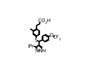 Cc1cc(SC(c2ccc(OC(F)(F)F)cc2)c2c[nH]nc2C(C)C)ccc1CCC(=O)O